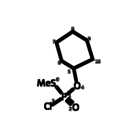 CSP(=O)(Cl)OC1CCCCC1